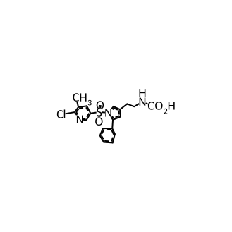 Cc1cc(S(=O)(=O)n2cc(CCNC(=O)O)cc2-c2ccccc2)cnc1Cl